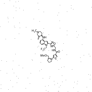 COC[C@@H]1CCCN1c1cc(C(=O)NCc2nc(-c3cc4c(N[C@@H]5CCN(C)C[C@@H]5F)cccc4n3CC(F)(F)F)no2)cs1